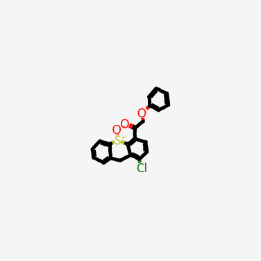 O=C(COc1ccccc1)c1ccc(Cl)c2c1[S+]([O-])c1ccccc1C2